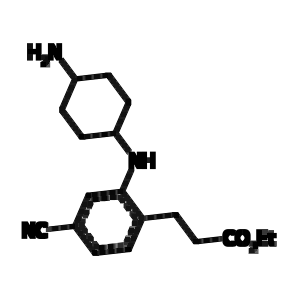 CCOC(=O)CCc1ccc(C#N)cc1NC1CCC(N)CC1